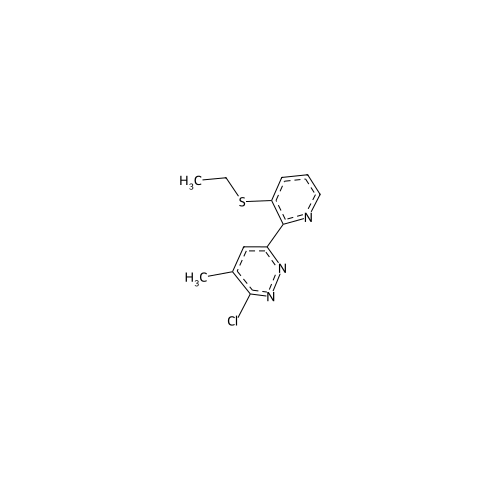 CCSc1cccnc1-c1cc(C)c(Cl)nn1